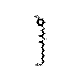 CCCCCCCCCCCCCCCCCC(=O)NC(=O)CCSc1ccc(O)cc1